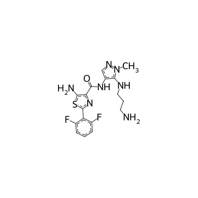 Cn1ncc(NC(=O)c2nc(-c3c(F)cccc3F)sc2N)c1NCCCN